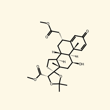 COC(=O)C[C@H]1C[C@@H]2[C@H]([C@@H](O)C[C@@]3(C)[C@H]2CC[C@@]32OC(C)(C)O[C@@H]2C(=O)OC)[C@@]2(C)C=CC(=O)C=C12